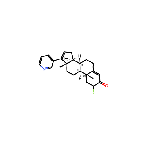 C[C@]12CC(F)C(=O)C=C1CC[C@@H]1[C@@H]2CC[C@]2(C)C(c3cccnc3)=CC[C@@H]12